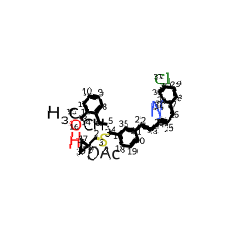 CC(=O)OC1(CS[C@H](CCc2ccccc2C(C)(C)O)c2cccc(C=Cc3ccc4ccc(Cl)cc4n3)c2)CC1